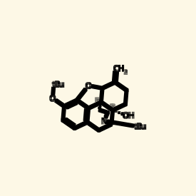 C=C1CC[C@@]2(O)C3Cc4ccc(OC(C)(C)C)c5c4[C@@]2(CCN3C(C)(C)C)C1O5